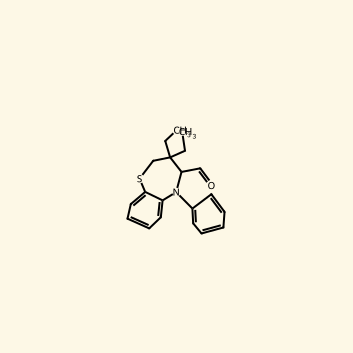 CCC1(CC)CSc2ccccc2N(c2ccccc2)C1C=O